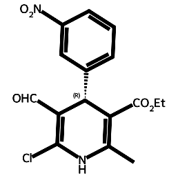 CCOC(=O)C1=C(C)NC(Cl)=C(C=O)[C@@H]1c1cccc([N+](=O)[O-])c1